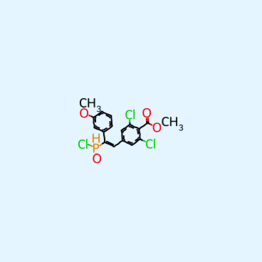 COC(=O)c1c(Cl)cc(/C=C(\c2cccc(OC)c2)[PH](=O)Cl)cc1Cl